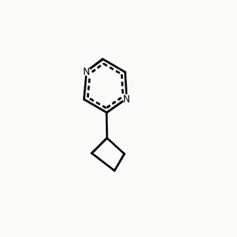 c1cnc(C2CCC2)cn1